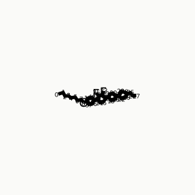 CCCCCCCCOc1ccc(-c2ccc(-c3ccc(-c4ccc(CCC)cc4)cc3)c(F)c2F)cc1